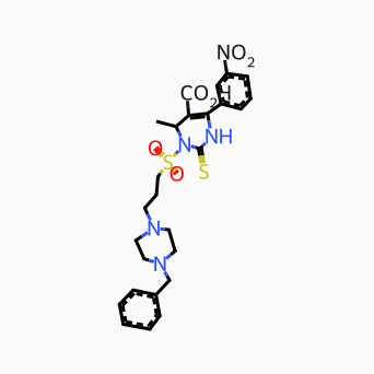 CC1C(C(=O)O)=C(c2cccc([N+](=O)[O-])c2)NC(=S)N1S(=O)(=O)CCCN1CCN(Cc2ccccc2)CC1